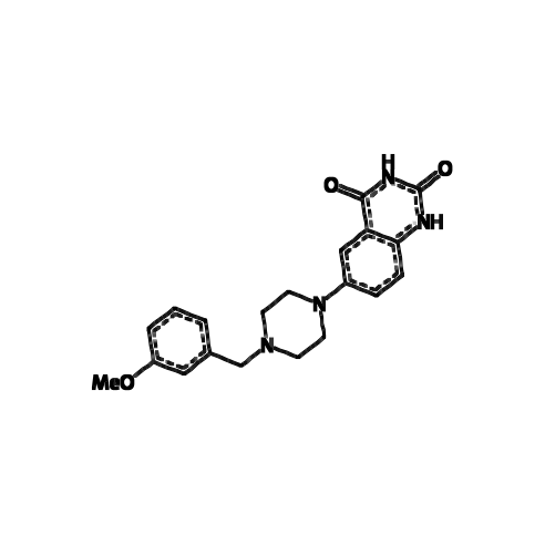 COc1cccc(CN2CCN(c3ccc4[nH]c(=O)[nH]c(=O)c4c3)CC2)c1